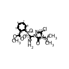 COC(=O)c1ccccc1S(=O)(=O)C(N)n1nc(Cl)n(N(C)C)c1=O